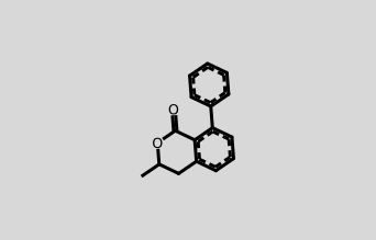 CC1Cc2cccc(-c3ccccc3)c2C(=O)O1